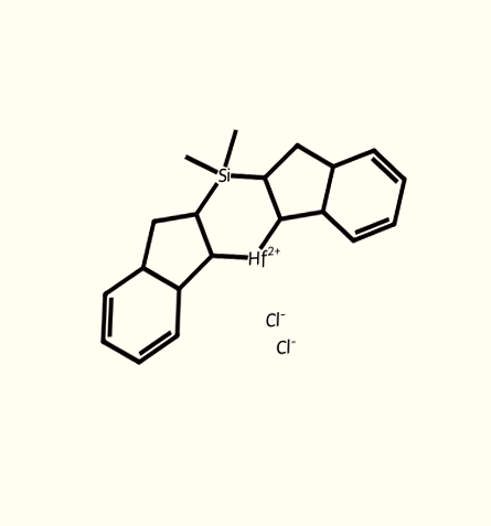 C[Si]1(C)C2CC3C=CC=CC3[CH]2[Hf+2][CH]2C3C=CC=CC3CC21.[Cl-].[Cl-]